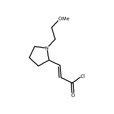 COCCN1CCCC1/C=C/C(=O)Cl